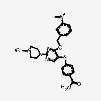 CC(C)N1CCN(c2ncc(Sc3ccc(C(N)=O)cc3)c(OCc3cccc(N(C)C)c3)n2)CC1